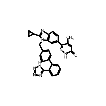 Cc1cc(=O)[nH]nc1-c1ccc2nc(C3CC3)n(Cc3ccc(-c4ccccc4-c4nnn[nH]4)cc3)c2c1